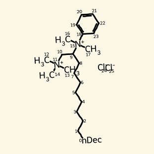 CCCCCCCCCCCCCCCCCCC(C[N+](C)(C)C)[N+](C)(C)c1ccccc1.[Cl-].[Cl-]